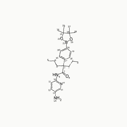 CCCC(CCC)(C(=O)Nc1ccc(N)cn1)c1ccc(B2OC(C)(C)C(C)(C)O2)cc1